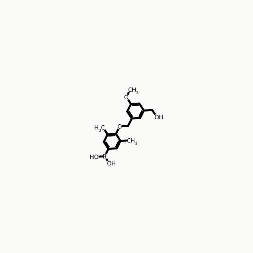 COc1cc(CO)cc(COc2c(C)cc(B(O)O)cc2C)c1